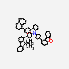 CC1(C)c2ccccc2-c2cccc(-c3ccc(N(c4ccc(-c5cccc6oc7ccccc7c56)cc4)c4ccccc4-c4cccc(-c5cccc6ccccc56)c4)cc3)c21